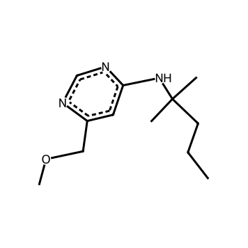 CCCC(C)(C)Nc1cc(COC)ncn1